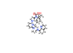 CN(Cc1cn2c(N3CC[C@@H](N(C(=O)O)C(C)(C)C)C3)cccc2n1)[C@H]1CCCc2cccnc21